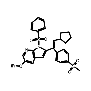 CC(C)Oc1cnc2c(c1)cc(/C(=C/C1CCCC1)c1ccc(S(C)(=O)=O)cc1)n2S(=O)(=O)c1ccccc1